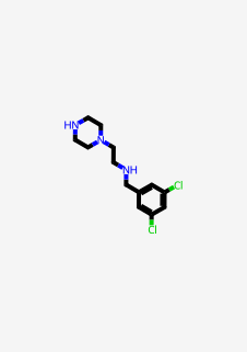 Clc1cc(Cl)cc(CNCCN2CCNCC2)c1